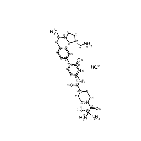 CC(Cc1ccc(-n2ccc(NC(=O)N3CCN(C(=O)C(C)(C)N)CC3)nc2=O)cc1)N1CC[C@H](CN)C1.Cl